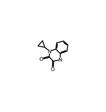 O=C1[N]c2ccccc2N(C2CC2)C1=O